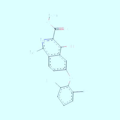 CCCCOC(=O)c1nc(C#N)c2ccc(Oc3c(C)cccc3CC)cc2c1O